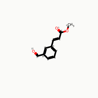 COC(=O)C=Cc1cccc(C=O)c1